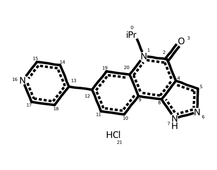 CC(C)n1c(=O)c2cn[nH]c2c2ccc(-c3ccncc3)cc21.Cl